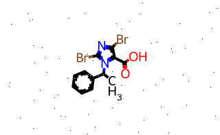 CC(c1ccccc1)n1c(Br)nc(Br)c1C(=O)O